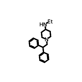 CCNC1CCN(CC(c2ccccc2)c2ccccc2)CC1